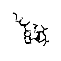 CCOC(=O)/C=C(\C)c1cc2cccc(-c3cc(C(C)C)cc(C(C)C)c3OCC)c2o1